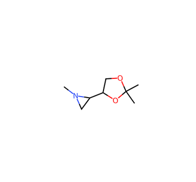 CN1CC1C1COC(C)(C)O1